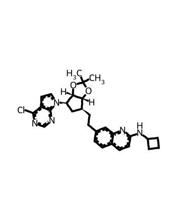 CC1(C)O[C@@H]2[C@@H](CCc3ccc4ccc(NC5CCC5)nc4c3)C[C@@H](n3ccc4c(Cl)ncnc43)[C@@H]2O1